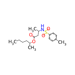 CCCCC(C)OC(=O)CC(C)NS(=O)(=O)c1ccc(C)cc1